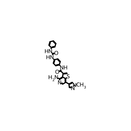 Cn1cc(-c2cnc(N)c3c(C(=O)Nc4ccc(NC(=O)Nc5ccccc5)cc4)csc23)cn1